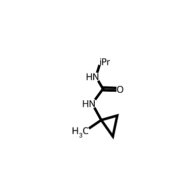 CC(C)NC(=O)NC1(C)CC1